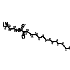 CCCCCCCCCCCCCC(=O)[NH+]([O-])CCCN